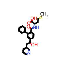 CSCCC(NC(=O)c1ccc(C(O)Cc2cccnc2)cc1-c1ccccc1)C(=O)O